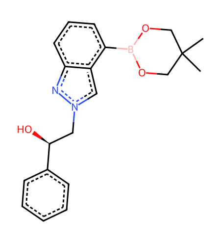 CC1(C)COB(c2cccc3nn(C[C@H](O)c4ccccc4)cc23)OC1